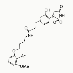 COc1cccc(OCCCCNC(=O)CCc2ccc(N3CC(=O)NS3(=O)=O)c(O)c2)c1C(C)=O